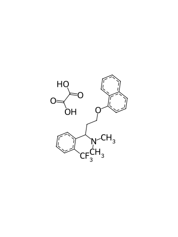 CN(C)C(CCOc1cccc2ccccc12)c1ccccc1C(F)(F)F.O=C(O)C(=O)O